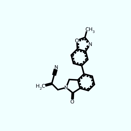 C=C(C#N)CN1Cc2c(cccc2-c2ccc3oc(C)nc3c2)C1=O